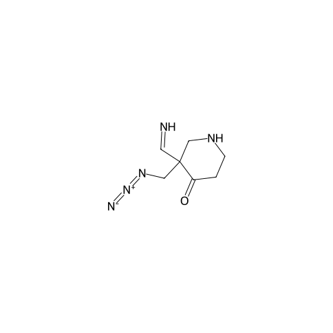 [N-]=[N+]=NCC1(C=N)CNCCC1=O